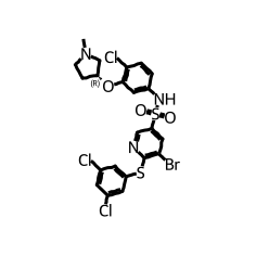 CN1CC[C@@H](Oc2cc(NS(=O)(=O)c3cnc(Sc4cc(Cl)cc(Cl)c4)c(Br)c3)ccc2Cl)C1